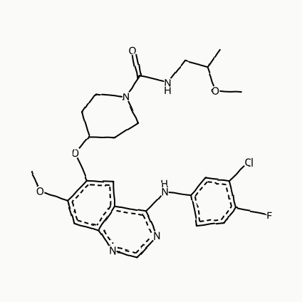 COc1cc2ncnc(Nc3ccc(F)c(Cl)c3)c2cc1OC1CCN(C(=O)NCC(C)OC)CC1